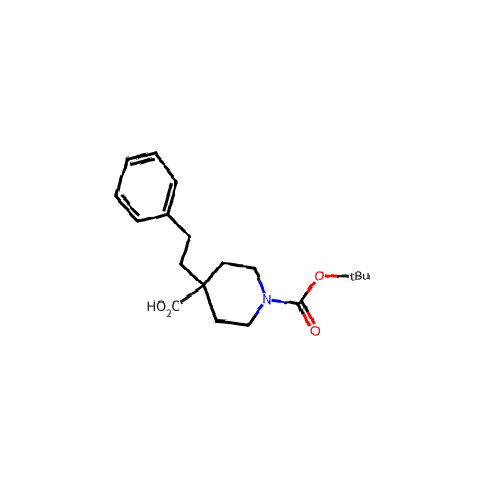 CC(C)(C)OC(=O)N1CCC(CCc2ccccc2)(C(=O)O)CC1